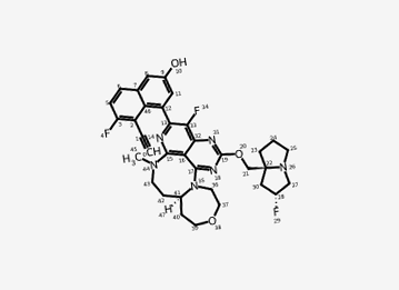 C#Cc1c(F)ccc2cc(O)cc(-c3nc4c5c(nc(OC[C@@]67CCCN6C[C@H](F)C7)nc5c3F)N3CCOCC[C@H]3CCN4C)c12